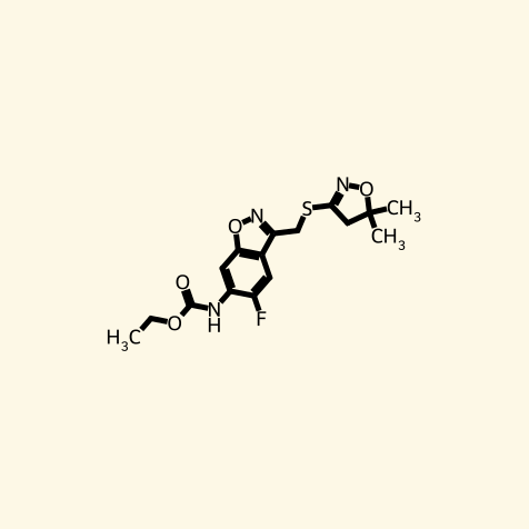 CCOC(=O)Nc1cc2onc(CSC3=NOC(C)(C)C3)c2cc1F